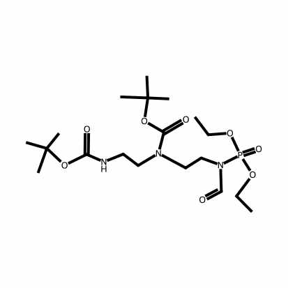 CCOP(=O)(OCC)N(C=O)CCN(CCNC(=O)OC(C)(C)C)C(=O)OC(C)(C)C